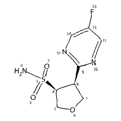 NS(=O)(=O)[C@@H]1COC[C@@H]1c1ncc(F)cn1